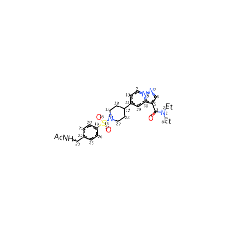 CCN(CC)C(=O)c1cnn2ccc(C3CCN(S(=O)(=O)c4ccc(CNC(C)=O)cc4)CC3)cc12